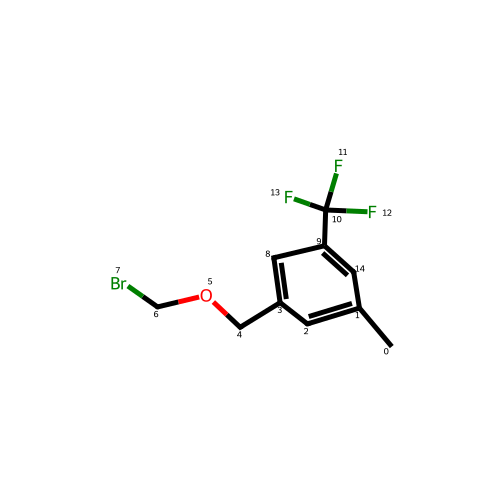 Cc1cc(COCBr)cc(C(F)(F)F)c1